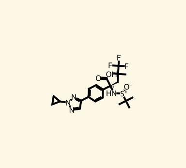 CC(C)(C)[S+]([O-])N[C@@](CC(C)(C)C(F)(F)F)(C(=O)O)c1ccc(-c2cnn(C3CC3)n2)cc1